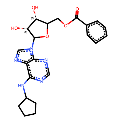 O=C(OCC1OC(n2cnc3c(NC4CCCC4)ncnc32)[C@H](O)[C@@H]1O)c1ccccc1